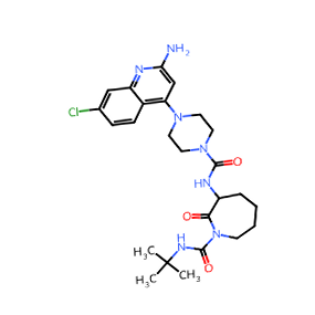 CC(C)(C)NC(=O)N1CCCCC(NC(=O)N2CCN(c3cc(N)nc4cc(Cl)ccc34)CC2)C1=O